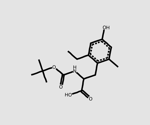 CCc1cc(O)cc(C)c1CC(NC(=O)OC(C)(C)C)C(=O)O